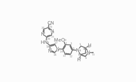 COc1cc(N2C[C@H]3C[C@@H]2CN3C)ccc1-n1cnc(Nc2cnc(C#N)cn2)c1